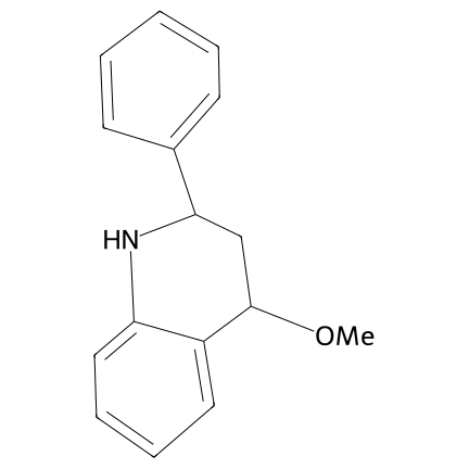 COC1CC(c2ccccc2)Nc2ccccc21